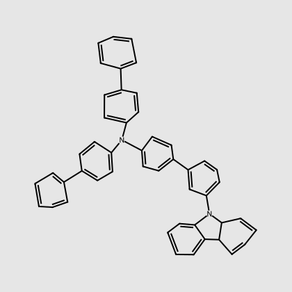 C1=CC2c3ccccc3N(c3cccc(-c4ccc(N(c5ccc(-c6ccccc6)cc5)c5ccc(-c6ccccc6)cc5)cc4)c3)C2C=C1